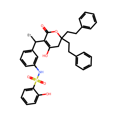 CCC(C1=C(O)CC(CCc2ccccc2)(CCc2ccccc2)OC1=O)c1cccc(NS(=O)(=O)c2ccccc2O)c1